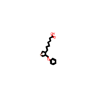 O=C(O)CCCCCCC1CSCC1COc1ccccc1